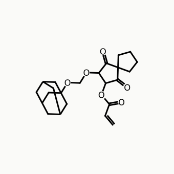 C=CC(=O)OC1C(=O)C2(CCCC2)C(=O)C1OCOC12CC3CC(CC(C3)C1)C2